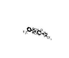 CC(C)([C@H]1CCN(c2nnc(C(F)(F)F)s2)C(=O)C1)S(=O)(=O)c1cccc(C(F)(F)F)c1